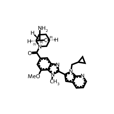 COc1cc(C(=O)N2C[C@@H]3CC[C@H]2[C@H](N)C3)cc2nc(-c3cc4cccnc4n3CC3CC3)n(C)c12